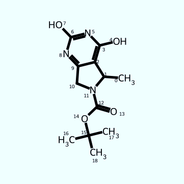 CC1c2c(O)nc(O)nc2CN1C(=O)OC(C)(C)C